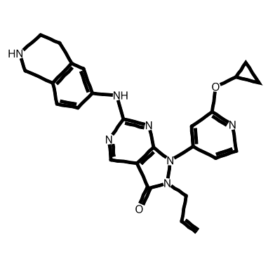 C=CCn1c(=O)c2cnc(Nc3ccc4c(c3)CCNC4)nc2n1-c1ccnc(OC2CC2)c1